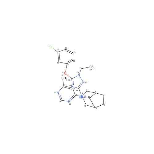 Cc1cc(N2CC3CCC(C2)C3Nc2nc(Oc3cccc(F)c3)n(CC(F)(F)F)n2)ncn1